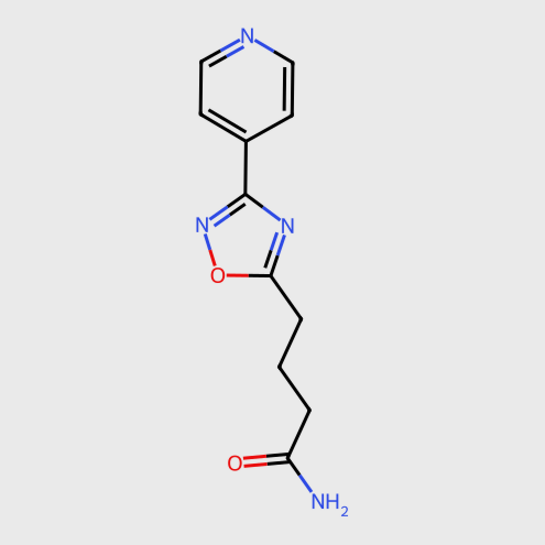 NC(=O)CCCc1nc(-c2ccncc2)no1